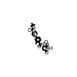 Cc1cc(N2CCN(C(=O)OC(C)(C)C)CC2)ccc1C(=O)N(C=O)C1CCC(=O)NC1=O